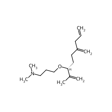 C=CCC(=C)CC[C@@H](OCCCN(C)C)C(=C)C